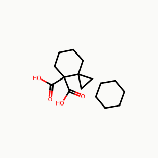 C1CCCCC1.O=C(O)C1(C(=O)O)CCCCC12CC2